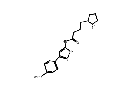 COc1ccc(-c2cc(NC(=O)CCCN3CCC[C@@H]3C)[nH]n2)cc1